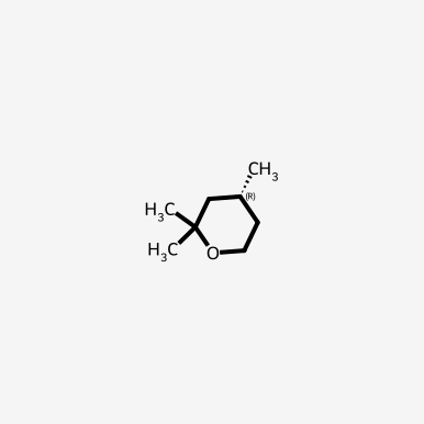 C[C@@H]1CCOC(C)(C)C1